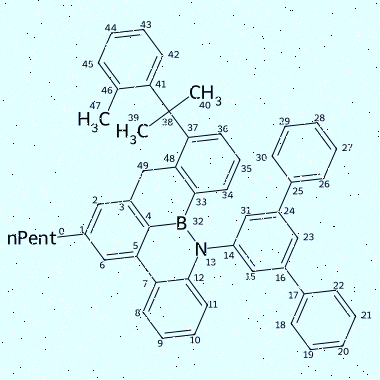 CCCCCc1cc2c3c(c1)-c1ccccc1N(c1cc(-c4ccccc4)cc(-c4ccccc4)c1)B3c1cccc(C(C)(C)c3ccccc3C)c1C2